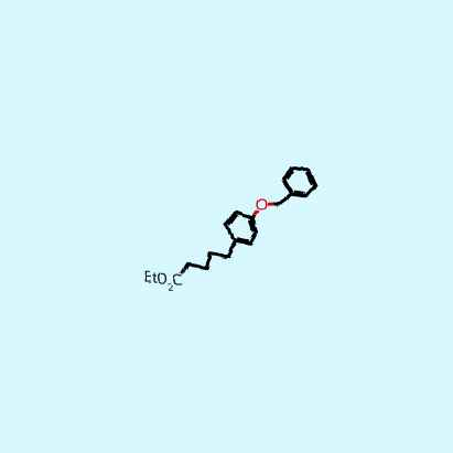 CCOC(=O)CCCCc1ccc(OCc2ccccc2)cc1